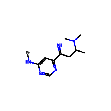 CCNc1cc(C(=N)CC(C)N(C)C)ncn1